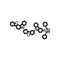 c1ccc(-c2nnc(-c3ccccc3)n2-c2ccc3c(c2)c2ccccc2n3-c2ccc3oc4ccc(-n5c6ccccc6c6c7oc8ccccc8c7ccc65)cc4c3c2)cc1